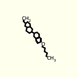 C=CC1CCC2CC(C3CCc4cc(OCCCCCC)ccc4C3)CCC2C1